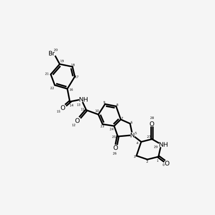 O=C1CCC(N2Cc3ccc(C(=O)NC(=O)c4ccc(Br)cc4)cc3C2=O)C(=O)N1